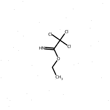 CCOC(=N)C(Cl)(Cl)Cl